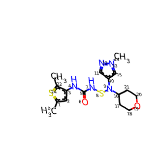 Cc1cc(NC(=O)NSN(c2cnn(C)c2)C2CCOCC2)c(C)s1